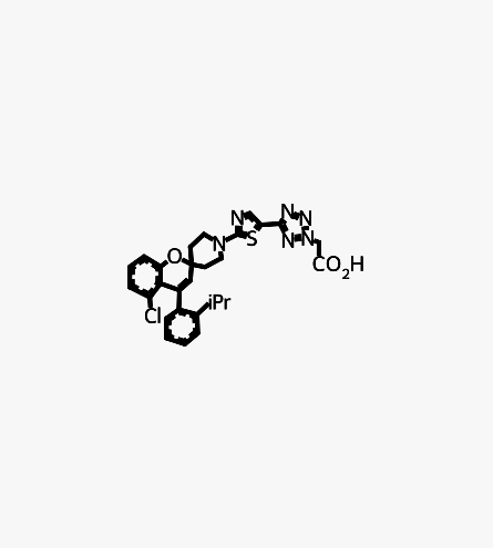 CC(C)c1ccccc1C1=CC2(CCN(c3ncc(-c4nnn(CC(=O)O)n4)s3)CC2)Oc2cccc(Cl)c21